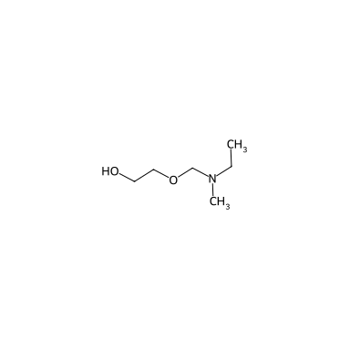 CCN(C)COCCO